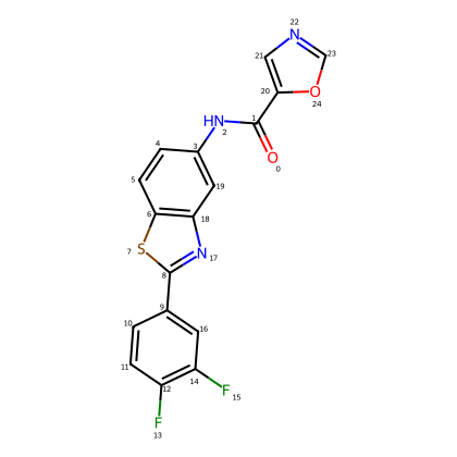 O=C(Nc1ccc2sc(-c3ccc(F)c(F)c3)nc2c1)c1cnco1